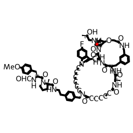 COc1ccc(C[C@H](NC=O)C(=O)N2CCC[C@@]2(C)C(=O)NCCc2ccc(CN3CCCCCCn4cc(c5cc(F)ccc54)C[C@@H]4NC(=O)[C@H](Cc5cccc(c5)CNC(=O)COC5CCN(C4=O)[C@@H]5C(=O)NC[C@@H](C)O)NC(=O)[C@@H](C)NC(=O)CCCCCC3=O)cc2)cc1